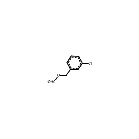 O=[C]OCc1cccc(Cl)c1